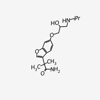 CC(C)NCC(O)COc1ccc2c(C(C)(C)C(N)=O)coc2c1